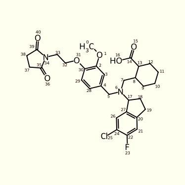 COc1cc(CN(CC2CCCCC2C(=O)O)C2CCc3cc(F)c(Cl)cc32)ccc1OCCN1C(=O)CCC1=O